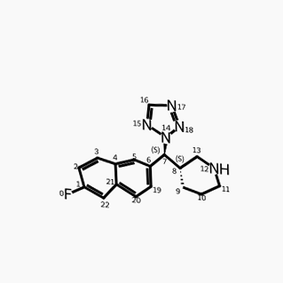 Fc1ccc2cc([C@H]([C@H]3CCCNC3)n3ncnn3)ccc2c1